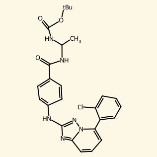 CC(NC(=O)OC(C)(C)C)NC(=O)c1ccc(Nc2nc3cccc(-c4ccccc4Cl)n3n2)cc1